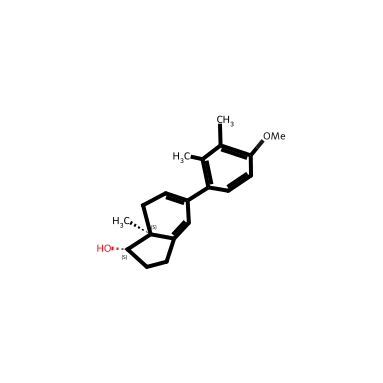 COc1ccc(C2=CC[C@@]3(C)C(=C2)CC[C@@H]3O)c(C)c1C